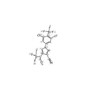 N#Cc1nn(-c2cc(Cl)c(C(F)(F)F)c(Cl)c2)cc1[S+]([O-])C(F)(F)F